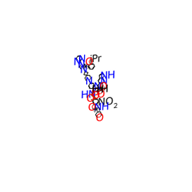 CC(C)Oc1ccccc1[C@@H]1CN(c2ncccn2)CCN1C1CC2(CCN(c3ccc(C(=O)NS(=O)(=O)c4cc5c(c([N+](=O)[O-])c4)N[C@H](C4CCOCC4)CO5)c(N4c5cc6cc[nH]c6nc5O[C@H]5COCC[C@@H]54)c3)CC2)C1